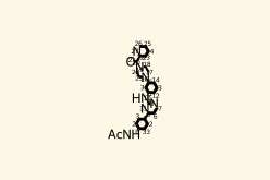 CC(=O)Nc1ccc(-c2ccnc(Nc3cccc(N4CCN(C(=O)c5ccccn5)CC4)c3)n2)cc1